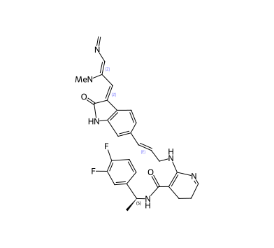 C=N/C=C(/C=C1\C(=O)Nc2cc(/C=C/CNC3=C(C(=O)N[C@@H](C)c4ccc(F)c(F)c4)CCC=N3)ccc21)NC